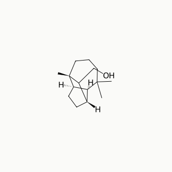 CC1(C)CCC[C@]2(C)C(CO)[C@H]3CC[C@@H]2[C@H]31